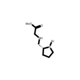 COC(=O)CNC[C@H]1CCCN1C(C)=O